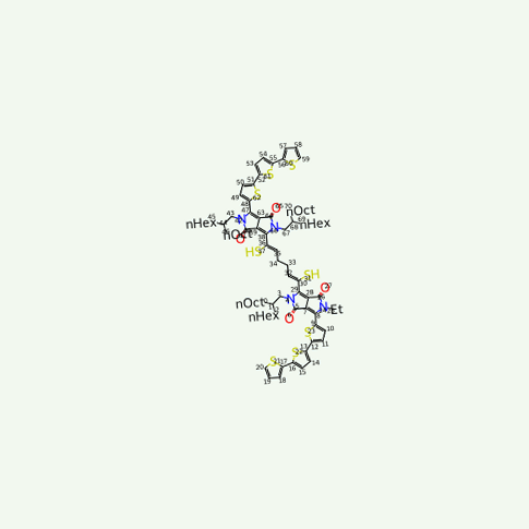 CCCCCCCCC(CCCCCC)CN1C(=O)C2=C(c3ccc(-c4ccc(-c5cccs5)s4)s3)N(CC)C(=O)C2=C1/C(S)=C/CC/C=C(\S)C1=C2C(=O)N(CC(CCCCCC)CCCCCCCC)C(c3ccc(-c4ccc(-c5cccs5)s4)s3)=C2C(=O)N1CC(CCCCCC)CCCCCCCC